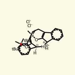 CC(C)(C)[Si](C)(C)OC1=C2CCC3=C(O[Si](C)(C)C(C)(C)C)[C@H]([Hf+2][C@H]1c1ccccc12)c1ccccc13.[Cl-].[Cl-]